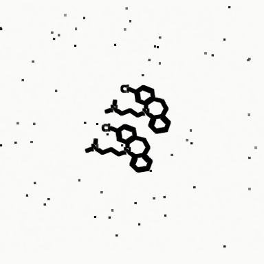 CN(C)CCCN1c2ccccc2CCc2ccc(Cl)cc21.CN(C)CCCN1c2ccccc2CCc2ccc(Cl)cc21